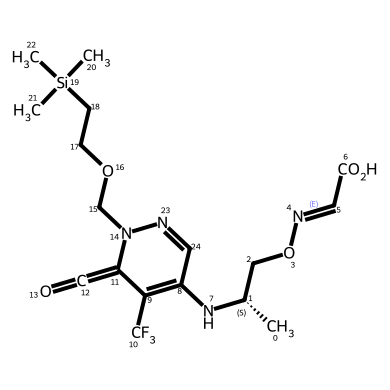 C[C@@H](CO/N=C/C(=O)O)NC1=C(C(F)(F)F)C(=C=O)N(COCC[Si](C)(C)C)N=C1